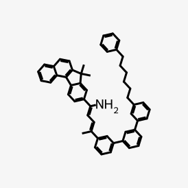 C/C(=C\C=C(/N)c1ccc2c(c1)C(C)(C)c1ccc3ccccc3c1-2)c1cccc(-c2cccc(-c3cccc(CCCCCCc4ccccc4)c3)c2)c1